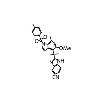 COc1cc(C)c2c(ccn2S(=O)(=O)c2ccc(C)cc2)c1C(C)(C)c1nc2cc(C#N)ccc2[nH]1